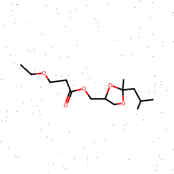 CCOCCC(=O)OCC1COC(C)(CC(C)C)O1